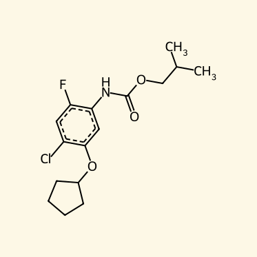 CC(C)COC(=O)Nc1cc(OC2CCCC2)c(Cl)cc1F